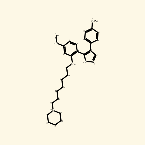 COc1ccc(-c2cnoc2-c2ccc(OC(C)C)cc2OCCCCCCCN2CCCCC2)cc1